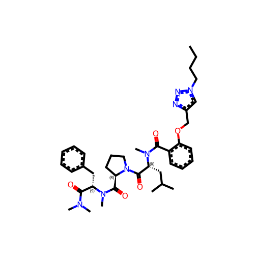 CCCCn1cc(COc2ccccc2C(=O)N(C)[C@H](CC(C)C)C(=O)N2CCC[C@@H]2C(=O)N(C)[C@@H](Cc2ccccc2)C(=O)N(C)C)nn1